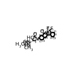 CC(C)S(=O)(=O)NC[C@H]1CN(c2ccc3cc(-c4ccccc4C(F)(F)F)[nH]c(=O)c3c2)C(=O)O1